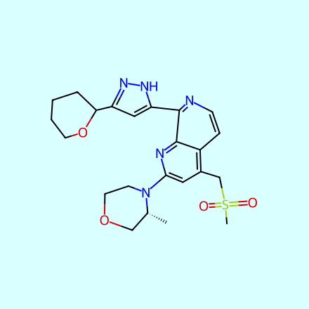 C[C@@H]1COCCN1c1cc(CS(C)(=O)=O)c2ccnc(-c3cc(C4CCCCO4)n[nH]3)c2n1